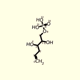 C=CCC(O)C(O)COP(=O)(O)O